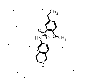 CCc1ccc(OC)c(S(=O)(=O)Nc2ccc3c(c2)CCNC3)c1